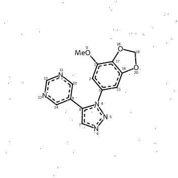 COc1cc(-n2nncc2-c2cncnc2)cc2c1OCO2